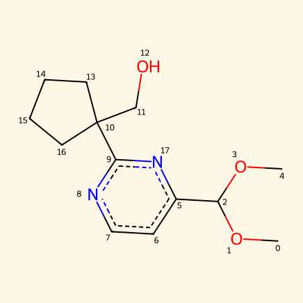 COC(OC)c1ccnc(C2(CO)CCCC2)n1